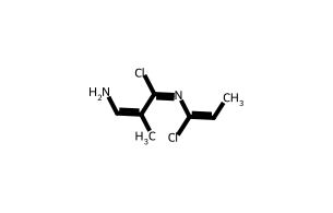 C\C=C(Cl)/N=C(Cl)\C(C)=C/N